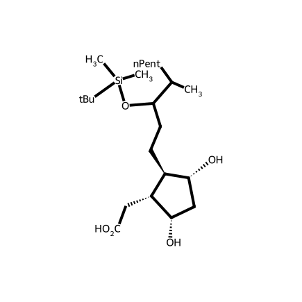 CCCCCC(C)C(CC[C@@H]1[C@@H](CC(=O)O)[C@@H](O)C[C@H]1O)O[Si](C)(C)C(C)(C)C